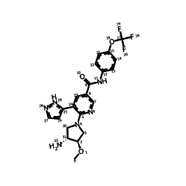 CO[C@@H]1CN(c2ncc(C(=O)Nc3ccc(OC(F)(F)F)cc3)cc2-c2ccn[nH]2)C[C@H]1N